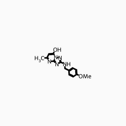 COc1ccc(CNc2nc3nc(C)cc(O)n3n2)cc1